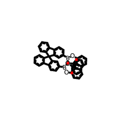 c1ccc2c(c1)-c1ccc(B3Oc4cccc5cccc(c45)O3)cc1C21c2ccccc2-c2ccc(B3Oc4cccc5cccc(c45)O3)cc21